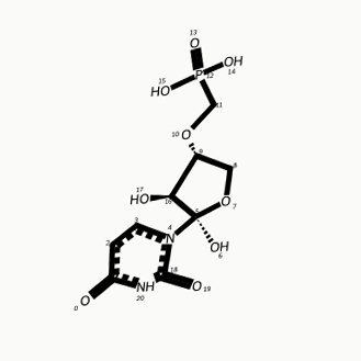 O=c1ccn([C@]2(O)OC[C@@H](OCP(=O)(O)O)[C@@H]2O)c(=O)[nH]1